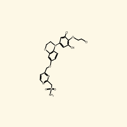 N#Cc1cc(N2CCOc3cc(OCc4ccnc(CS(N)(=O)=O)n4)ccc32)cc(Cl)c1OCCCl